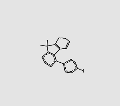 CC1(C)C2=C(C=CCC2)c2c(-c3ccc(I)cc3)cccc21